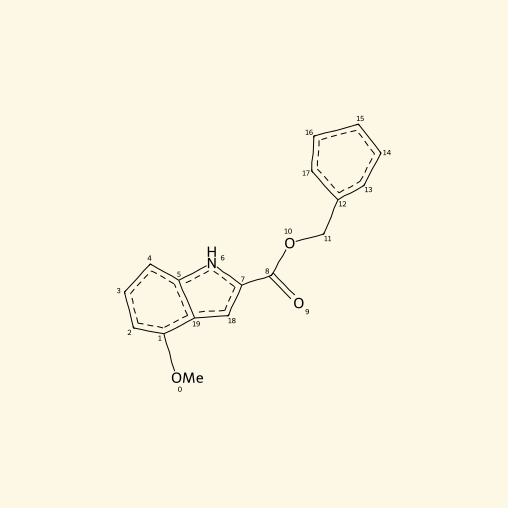 COc1cccc2[nH]c(C(=O)OCc3ccccc3)cc12